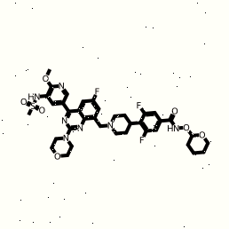 COc1ncc(-c2nc(N3CCOCC3)nc3c(CN4CCC(c5c(F)cc(C(=O)NOC6CCCCO6)cc5F)CC4)cc(F)cc23)cc1NS(C)(=O)=O